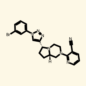 N#Cc1cccnc1N1CCN2[C@@H](CC[C@@H]2c2cn(-c3cccc(Br)c3)nn2)C1